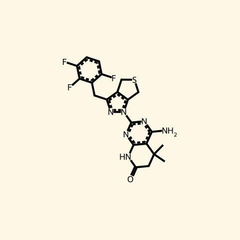 CC1(C)CC(=O)Nc2nc(-n3nc(Cc4c(F)ccc(F)c4F)c4c3CSC4)nc(N)c21